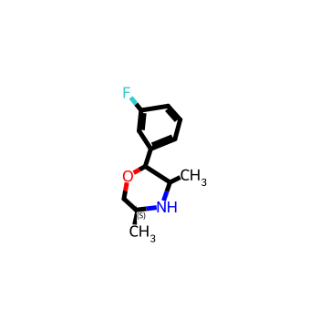 CC1N[C@@H](C)COC1c1cccc(F)c1